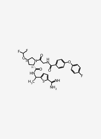 CC(NC(=O)[C@@H]1C[C@@H](OC(F)F)CN1C(=O)CNC(=O)c1ccc(Oc2ccc(F)cc2)cc1)c1ccc(C(=N)N)s1